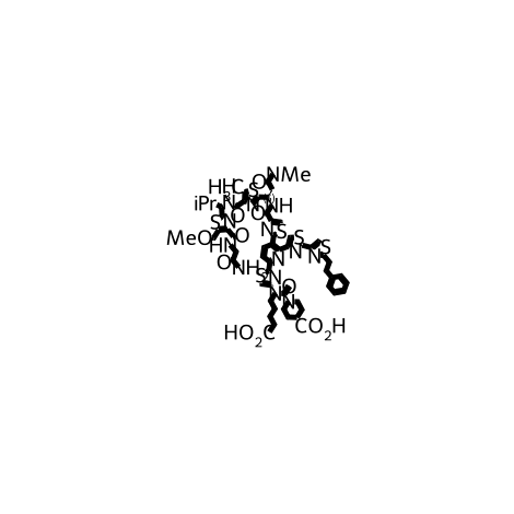 CNC(=O)C[C@H](NC(=O)c1csc(-c2ccc(-c3nc(N(CCCCC(=O)O)C(=O)N4CCC(C(=O)O)CC4)cs3)nc2-c2csc(-c3csc(CCc4ccccc4)n3)n2)n1)c1nc(C(=O)NC(c2nc(C(=O)NCC(N)=O)c(COC)s2)C(C)C)c(C)s1